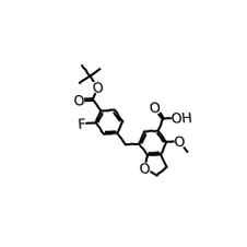 COc1c(C(=O)O)cc(Cc2ccc(C(=O)OC(C)(C)C)c(F)c2)c2c1CCO2